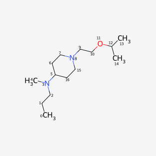 CCCN(C)C1CCN(CCOC(C)C)CC1